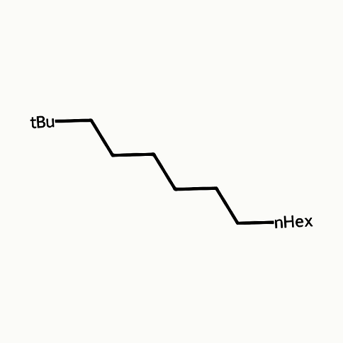 CCCCCCCCCCCCC(C)(C)C